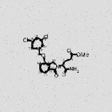 COC(=O)CCC(C(N)=O)N1Cc2c(OCc3cc(Cl)cc(Cl)c3)cccc2C1=O